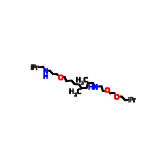 CC(C)CCOCCOCCNCC(C)CC(C)CCCCCOCCCNCC(C)C